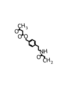 C=CC(=O)NCCc1ccc(COC(=O)CC(C)=O)cc1